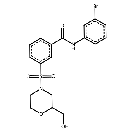 O=C(Nc1cccc(Br)c1)c1cccc(S(=O)(=O)N2CCOC(CO)C2)c1